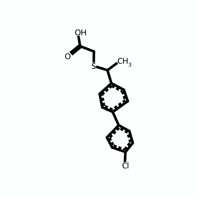 CC(SCC(=O)O)c1ccc(-c2ccc(Cl)cc2)cc1